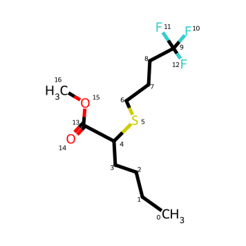 CCCCC(SCCCC(F)(F)F)C(=O)OC